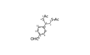 CC(=O)SCC(SC(C)=O)c1ccc(C=O)cc1